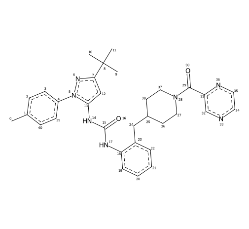 Cc1ccc(-n2nc(C(C)(C)C)cc2NC(=O)Nc2ccccc2CC2CCN(C(=O)c3cnccn3)CC2)cc1